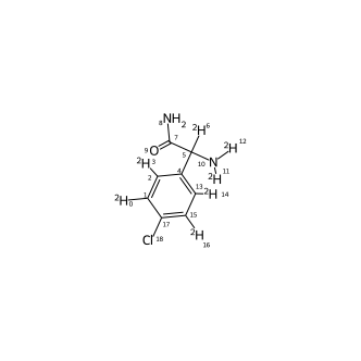 [2H]c1c([2H])c(C([2H])(C(N)=O)N([2H])[2H])c([2H])c([2H])c1Cl